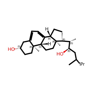 CC(C)C(C)C[C@@H](O)[C@@H](C)[C@H]1CC[C@H]2C3=CC=C4C[C@@H](O)CC[C@]4(C)[C@H]3CC[C@]12C